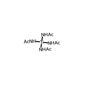 CC(=O)[NH][Ti]([NH]C(C)=O)([NH]C(C)=O)[NH]C(C)=O